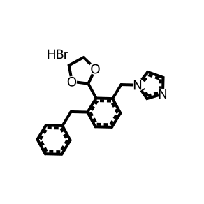 Br.c1ccc(Cc2cccc(Cn3ccnc3)c2C2OCCO2)cc1